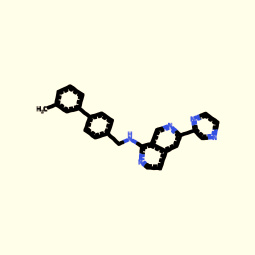 Cc1cccc(-c2ccc(CNc3nccc4cc(-c5cnccn5)ncc34)cc2)c1